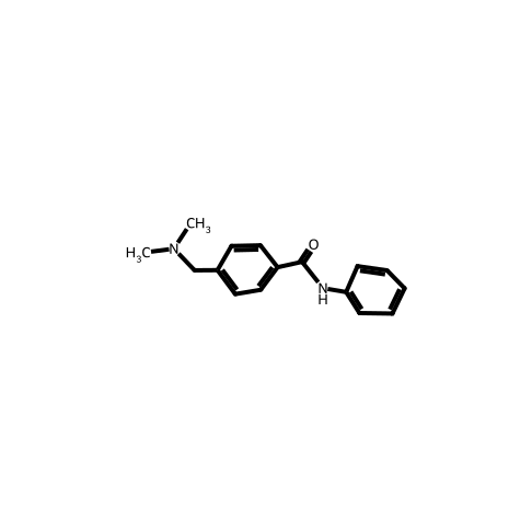 CN(C)Cc1ccc(C(=O)Nc2ccccc2)cc1